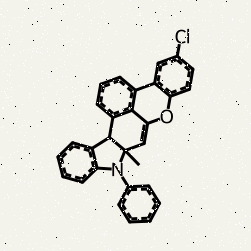 CC12C=C3Oc4ccc(Cl)cc4-c4cccc(c43)C1c1ccccc1N2c1ccccc1